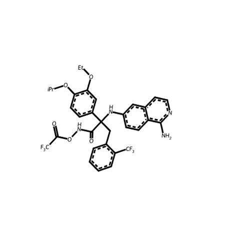 CCOc1cc(C(Cc2ccccc2C(F)(F)F)(Nc2ccc3c(N)nccc3c2)C(=O)NOC(=O)C(F)(F)F)ccc1OC(C)C